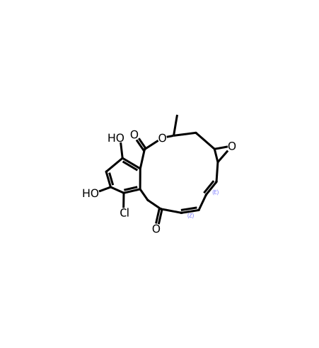 CC1CC2OC2/C=C/C=C\C(=O)Cc2c(Cl)c(O)cc(O)c2C(=O)O1